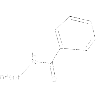 CCCCCNC(=O)c1ccccc1